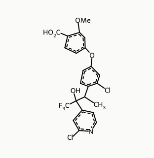 COc1cc(Oc2ccc(C(C)C(O)(c3ccnc(Cl)c3)C(F)(F)F)c(Cl)c2)ccc1C(=O)O